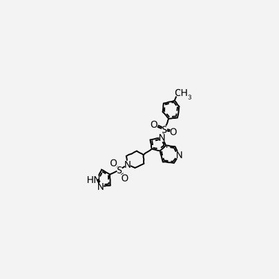 Cc1ccc(S(=O)(=O)n2cc(C3CCN(S(=O)(=O)c4cn[nH]c4)CC3)c3ccncc32)cc1